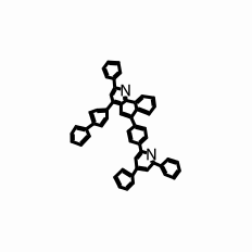 c1ccc(-c2ccc(-c3cc(-c4ccccc4)nc4c3cc(-c3ccc(-c5cc(-c6ccccc6)cc(-c6ccccc6)n5)cc3)c3ccccc34)cc2)cc1